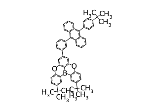 CC(C)(C)c1ccc(-c2c3ccccc3c(-c3cccc(-c4cc5c6c(c4)Oc4ccc(C(C)(C)C)cc4B6c4cc(C(C)(C)C)ccc4O5)c3)c3ccccc23)cc1